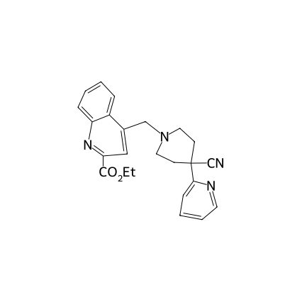 CCOC(=O)c1cc(CN2CCC(C#N)(c3ccccn3)CC2)c2ccccc2n1